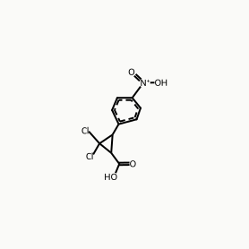 O=C(O)C1C(c2ccc([N+](=O)O)cc2)C1(Cl)Cl